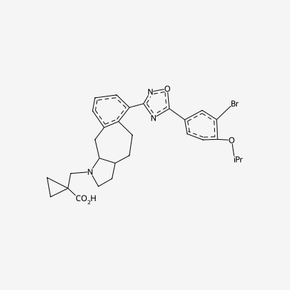 CC(C)Oc1ccc(-c2nc(-c3cccc4c3CCC3CCN(CC5(C(=O)O)CC5)C3C4)no2)cc1Br